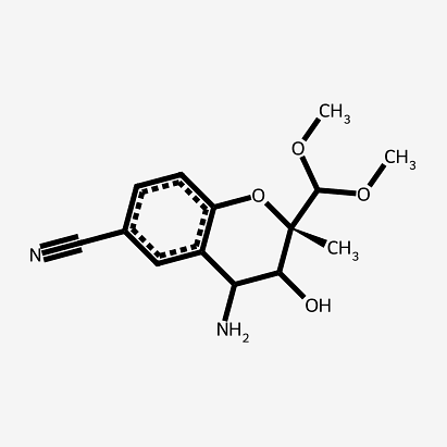 COC(OC)[C@@]1(C)Oc2ccc(C#N)cc2C(N)C1O